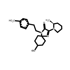 C[C@H]1CCCCN1C1=NC2(CCC(C(C)(C)C)CC2)N(CCc2ccc(C(=O)O)cc2)C1=O